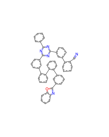 N#Cc1ccccc1-c1cccc(-c2nc(-c3ccccc3)nc(-c3cccc(-c4ccccc4-c4ccccc4-c4cccc(-c5nc6ccccc6o5)c4)c3)n2)c1